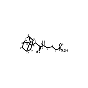 O=C(O)CCCNC(=O)CC12CC3CC(CC(C3)C1)C2